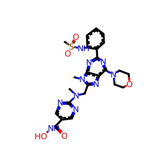 CN(Cc1nc2c(N3CCOCC3)nc(-c3ccccc3NS(C)(=O)=O)nc2n1C)c1ncc(C(=O)NO)cn1